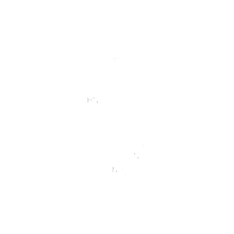 NC(=O)C1NSc2ccc(-c3c[nH]c4cc(F)ccc34)cc21